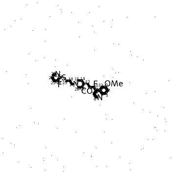 COc1ccc2nccc([C@H](F)CC[C@@H]3CCN(CCCSc4ncccc4F)C[C@@H]3C(=O)O)c2c1